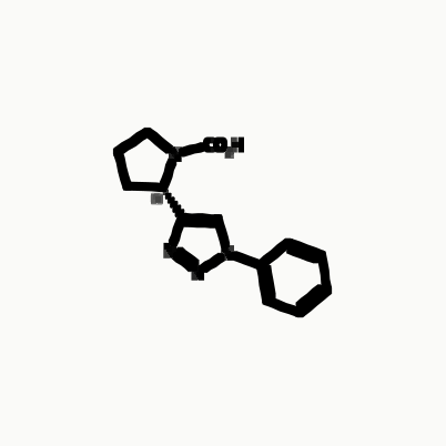 O=C(O)N1CCC[C@H]1c1cn(-c2ccccc2)nn1